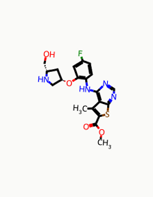 COC(=O)c1sc2ncnc(Nc3ccc(F)cc3O[C@@H]3CN[C@H](CO)C3)c2c1C